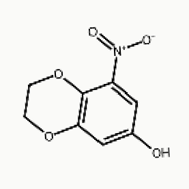 O=[N+]([O-])c1cc(O)cc2c1OCCO2